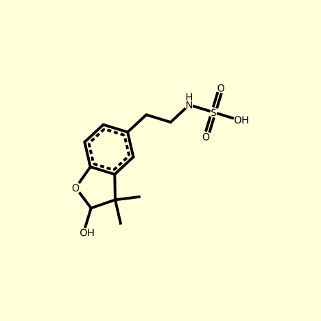 CC1(C)c2cc(CCNS(=O)(=O)O)ccc2OC1O